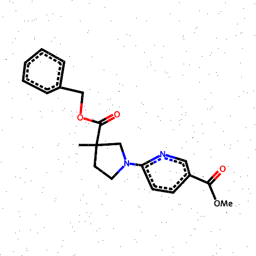 COC(=O)c1ccc(N2CCC(C)(C(=O)OCc3ccccc3)C2)nc1